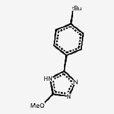 COc1nnc(-c2ccc(C(C)(C)C)cc2)[nH]1